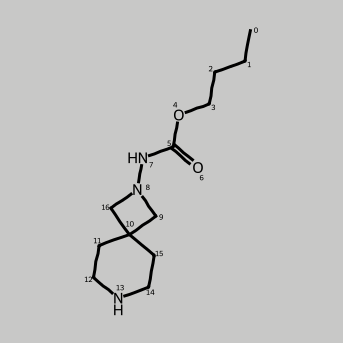 CCCCOC(=O)NN1CC2(CCNCC2)C1